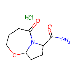 Cl.NC(=O)C1CCC2OCCCC(=O)N21